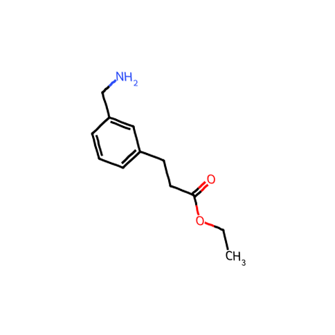 CCOC(=O)CCc1cccc(CN)c1